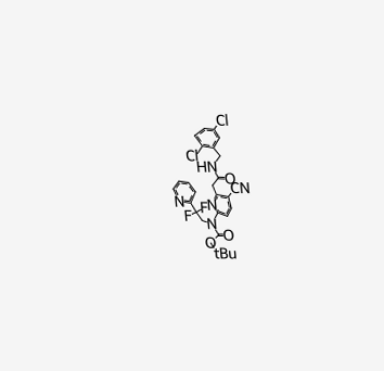 CC(C)(C)OC(=O)N(CC(F)(F)c1ccccn1)c1ccc(C#N)c(CC(=O)NCc2cc(Cl)ccc2Cl)n1